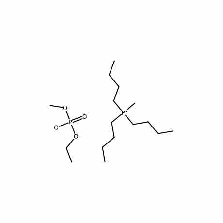 CCCC[P+](C)(CCCC)CCCC.CCOP(=O)([O-])OC